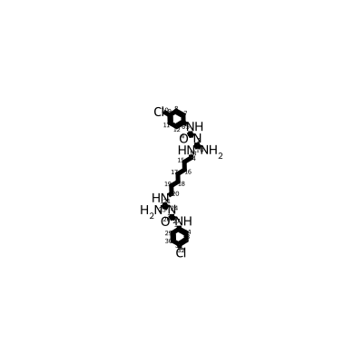 NC(=NC(=O)Nc1ccc(Cl)cc1)NCCCCCCCNC(N)=NC(=O)Nc1ccc(Cl)cc1